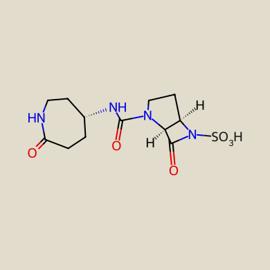 O=C1CC[C@@H](NC(=O)N2CC[C@@H]3[C@H]2C(=O)N3S(=O)(=O)O)CCN1